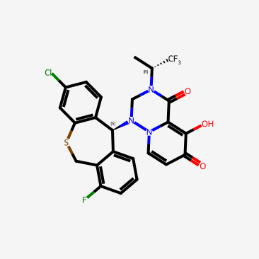 C[C@@H](N1CN([C@@H]2c3ccc(Cl)cc3SCc3c(F)cccc32)n2ccc(=O)c(O)c2C1=O)C(F)(F)F